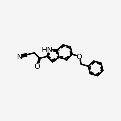 N#CCC(=O)c1cc2cc(OCc3ccccc3)ccc2[nH]1